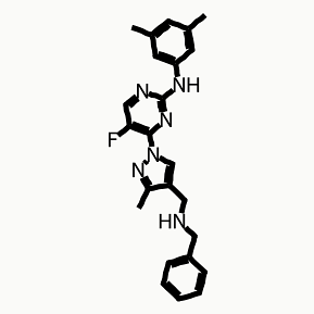 Cc1cc(C)cc(Nc2ncc(F)c(-n3cc(CNCc4ccccc4)c(C)n3)n2)c1